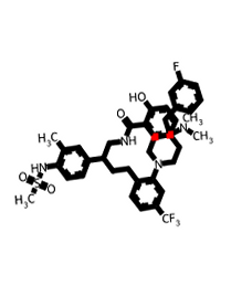 Cc1cc(C(CCc2ccc(C(F)(F)F)cc2N2CCC(Cc3cccc(F)c3)(N(C)C)CC2)CNC(=O)c2ccccc2O)ccc1NS(C)(=O)=O